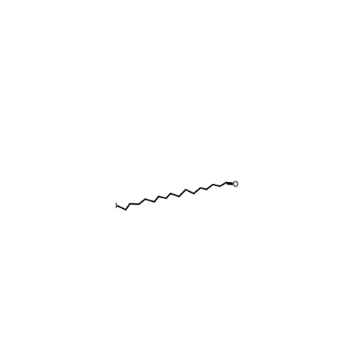 O=CCCCCCCCCCCCCCCCI